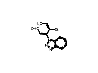 C/C=C(CC)\C(=C/C=O)n1nnc2ccccc21